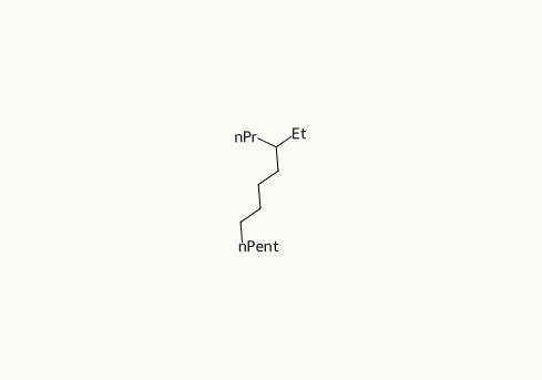 [CH2]CCCCCCCCC(CC)CC[CH2]